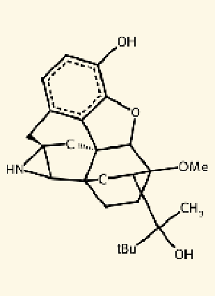 COC12CCC3(CC1C(C)(O)C(C)(C)C)C1N[C@@]14Cc1ccc(O)c5c1[C@@]3(C4)C2O5